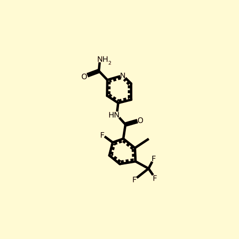 Cc1c(C(F)(F)F)ccc(F)c1C(=O)Nc1ccnc(C(N)=O)c1